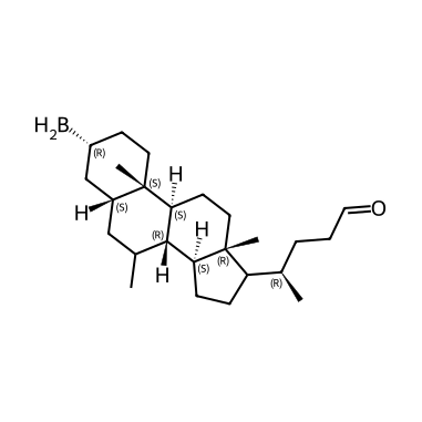 B[C@@H]1CC[C@@]2(C)[C@H](CC(C)[C@@H]3[C@@H]2CC[C@]2(C)C([C@H](C)CCC=O)CC[C@@H]32)C1